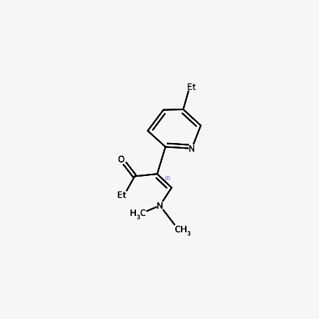 CCC(=O)/C(=C\N(C)C)c1ccc(CC)cn1